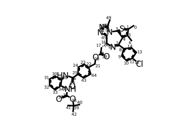 Cc1sc2c(c1C)C(c1ccc(Cl)cc1)=N[C@H](CC(=O)OCc1ccc(C(=O)Nc3ccccc3NC(=O)OC(C)(C)C)cc1)c1nnc(C)n1-2